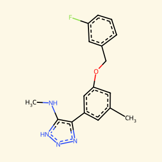 CNc1[nH]nnc1-c1cc(C)cc(OCc2cccc(F)c2)c1